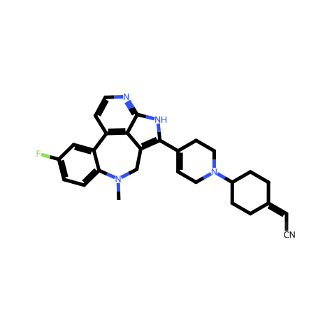 CN1Cc2c(C3=CCN(C4CCC(=CC#N)CC4)CC3)[nH]c3nccc(c23)-c2cc(F)ccc21